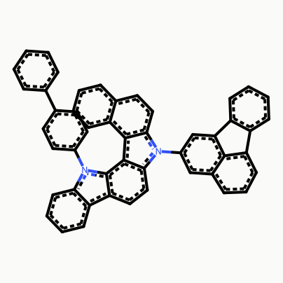 c1ccc(-c2ccc(-n3c4ccccc4c4ccc5c(c6c7ccccc7ccc6n5-c5cc6c7c(cccc7c5)-c5ccccc5-6)c43)cc2)cc1